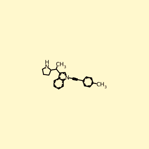 Cc1ccc(C#Cn2cc(C(C)C3CCCN3)c3ccccc32)cc1